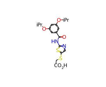 CC(C)Oc1cc(OC(C)C)cc(C(=O)Nc2ncc(SCC(=O)O)s2)c1